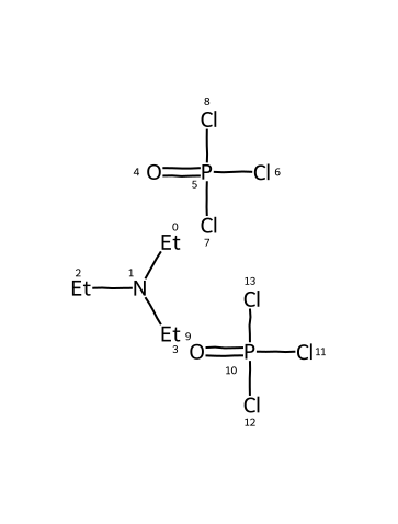 CCN(CC)CC.O=P(Cl)(Cl)Cl.O=P(Cl)(Cl)Cl